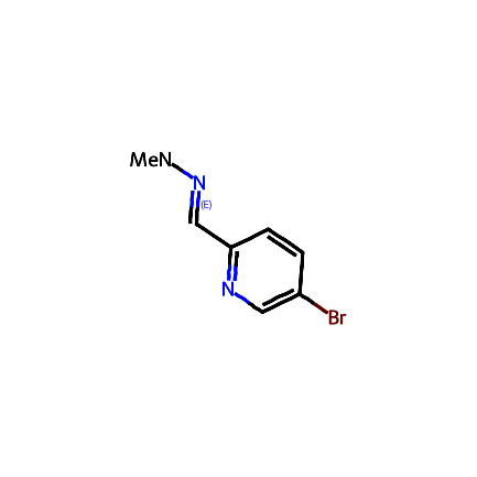 CN/N=C/c1ccc(Br)cn1